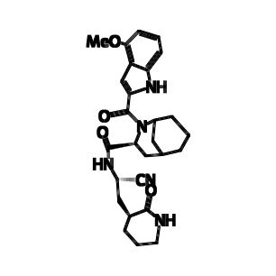 COc1cccc2[nH]c(C(=O)N3C4CCCC(C4)C[C@H]3C(=O)N[C@H](C#N)C[C@@H]3CCCNC3=O)cc12